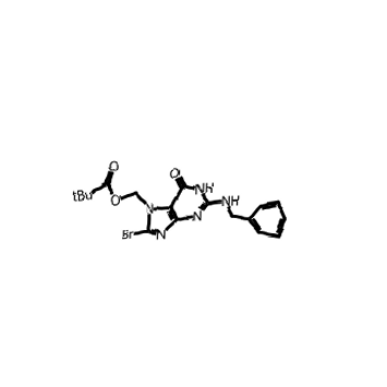 CC(C)(C)C(=O)OCn1c(Br)nc2nc(NCc3ccccc3)[nH]c(=O)c21